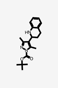 Cc1nn(C(=O)OC(C)(C)C)c(C)c1C1CCc2ccccc2N1